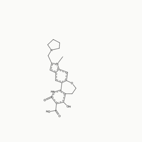 Cn1c(CN2CCCC2)cc2cc3c(cc21)OCCc1c-3[nH]c(=O)c(C(=O)O)c1O